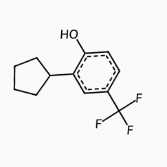 Oc1ccc(C(F)(F)F)cc1C1CCCC1